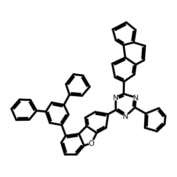 c1ccc(-c2cc(-c3ccccc3)cc(-c3cccc4oc5cc(-c6nc(-c7ccccc7)nc(-c7ccc8c(ccc9ccccc98)c7)n6)ccc5c34)c2)cc1